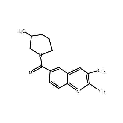 Cc1cc2cc(C(=O)N3CCCC(C)C3)ccc2nc1N